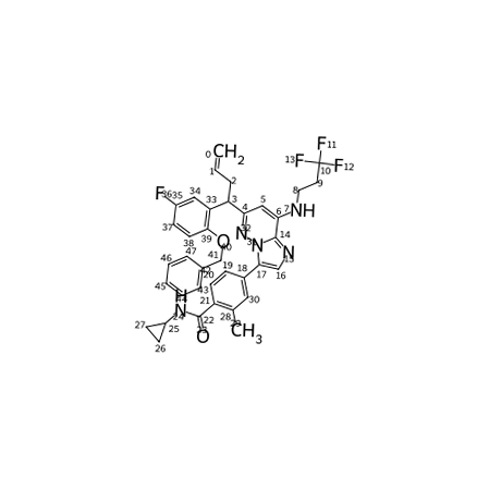 C=CCC(c1cc(NCCC(F)(F)F)c2ncc(-c3ccc(C(=O)NC4CC4)c(C)c3)n2n1)c1cc(F)ccc1OCc1ccccc1